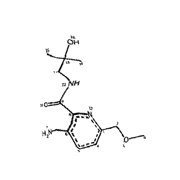 COCc1ccc(N)c(C(=O)NCC(C)(C)O)n1